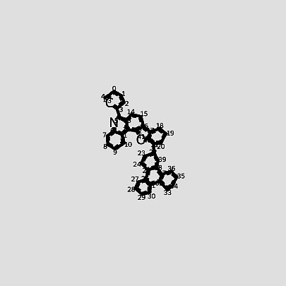 c1ccc(-c2nc3ccccc3c3c2ccc2c4cccc(-c5ccc6c7ccccc7c7ccccc7c6c5)c4oc23)cc1